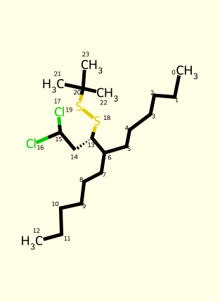 CCCCCCC(CCCCCC)[C@H](CC(Cl)Cl)SSC(C)(C)C